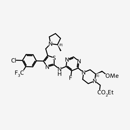 CCOC(=O)CN1CCN(c2ncnc(Nc3nc(-c4ccc(Cl)c(C(F)(F)F)c4)c(CN4CCC[C@H]4C)s3)c2F)C[C@H]1COC